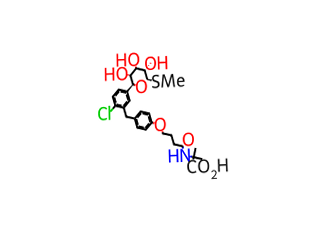 CS[C@H]1O[C@@H](c2ccc(Cl)c(Cc3ccc(OCCCC(=O)NC(C)(C)C(=O)O)cc3)c2)[C@H](O)[C@@H](O)[C@@H]1O